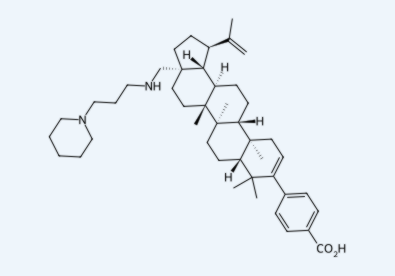 C=C(C)[C@@H]1CC[C@]2(CNCCCN3CCCCC3)CC[C@]3(C)[C@H](CC[C@@H]4[C@@]5(C)CC=C(c6ccc(C(=O)O)cc6)C(C)(C)[C@@H]5CC[C@]43C)[C@@H]12